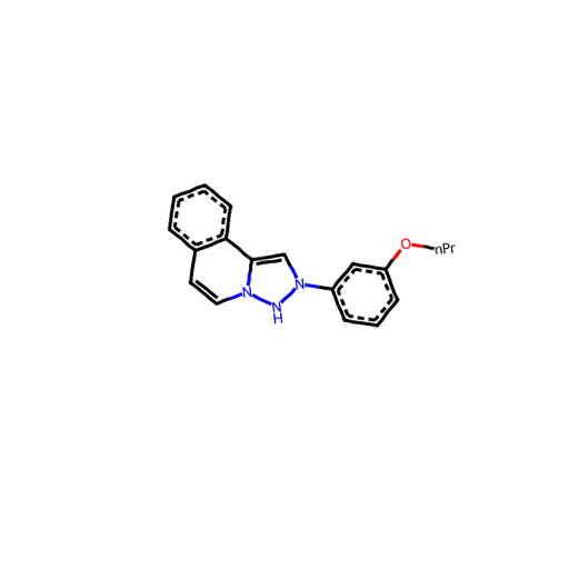 CCCOc1cccc(N2C=C3c4ccccc4C=CN3N2)c1